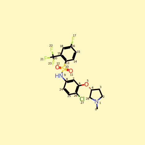 CN1CC[C@@H](Oc2cc(NS(=O)(=O)c3ccc(F)cc3C(F)(F)F)ccc2Cl)C1